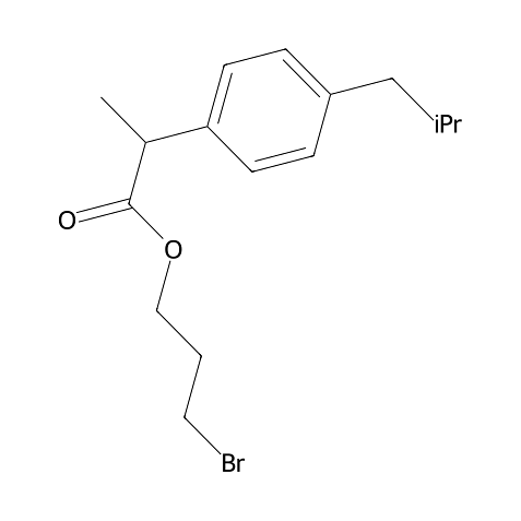 CC(C)Cc1ccc(C(C)C(=O)OCCCBr)cc1